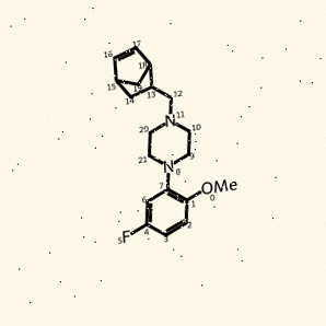 COc1ccc(F)cc1N1CCN(CC2CC3C=CC2C3)CC1